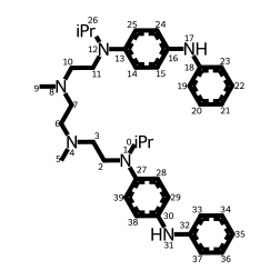 CC(C)N(CCN(C)CCN(C)CCN(c1ccc(Nc2ccccc2)cc1)C(C)C)c1ccc(Nc2ccccc2)cc1